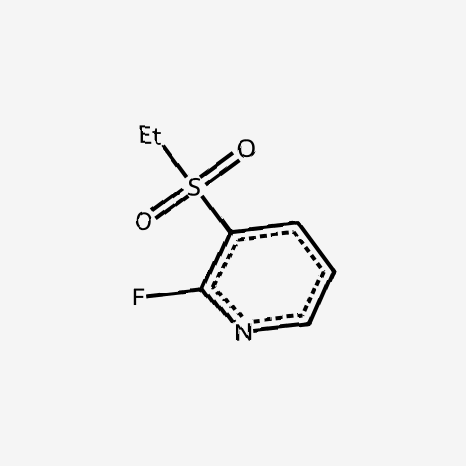 CCS(=O)(=O)c1cccnc1F